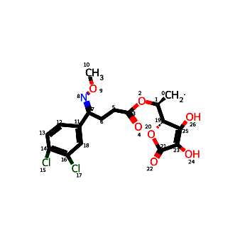 [CH2][C@H](OC(=O)CCC(=NOC)c1ccc(Cl)c(Cl)c1)[C@H]1OC(=O)C(O)=C1O